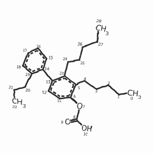 CCCCCc1c(OC(=O)O)ccc(-c2ccccc2CCC)c1CCCCC